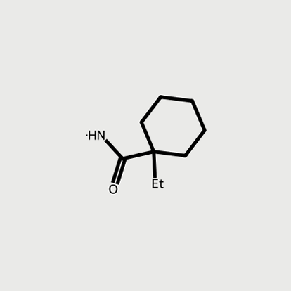 CCC1(C([NH])=O)CCCCC1